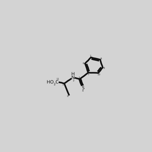 CC(NC(=S)c1ccccc1)C(=O)O